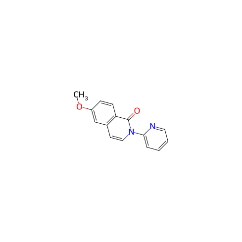 COc1ccc2c(=O)n(-c3ccccn3)ccc2c1